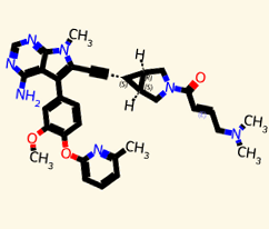 COc1cc(-c2c(C#C[C@@H]3[C@H]4CN(C(=O)/C=C/CN(C)C)C[C@@H]34)n(C)c3ncnc(N)c23)ccc1Oc1cccc(C)n1